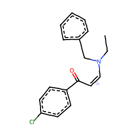 CCN(/C=C\C(=O)c1ccc(Cl)cc1)Cc1ccccc1